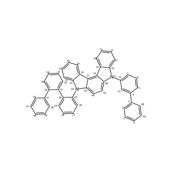 c1ccc(-c2cccc(-n3c4ccccc4c4c5c6ccccc6n(-c6ccccc6-c6ccccc6-c6ccccc6)c5ccc43)c2)cc1